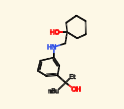 [CH2]CC(O)(CCCC)c1cccc(NCC2(O)CCCCC2)c1